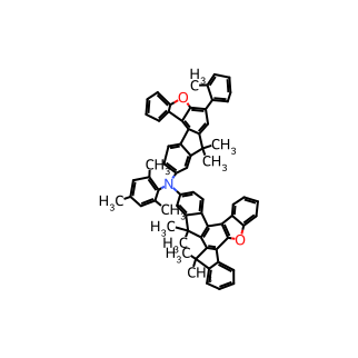 Cc1cc(C)c(N(c2ccc3c(c2)C(C)(C)c2cc(-c4ccccc4C)c4oc5ccccc5c4c2-3)c2ccc3c(c2)C(C)(C)c2c4c(c5oc6ccccc6c5c2-3)-c2ccccc2C4(C)C)c(C)c1